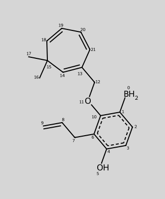 Bc1ccc(O)c(CC=C)c1OCC1=CC(C)(C)C=CC=C1